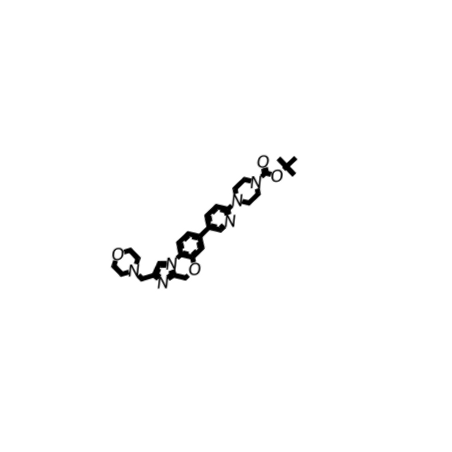 CC(C)(C)OC(=O)N1CCN(c2ccc(-c3ccc4c(c3)OCc3nc(CN5CCOCC5)cn3-4)cn2)CC1